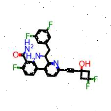 NC(=O)c1cc(-c2ccc(C#CC3(O)CC(F)(F)C3)nc2[C@@H](N)Cc2cc(F)cc(F)c2)ccc1F